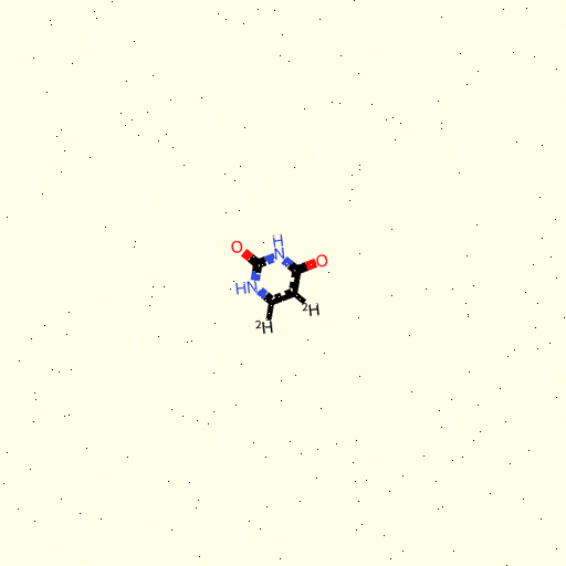 [2H]c1[nH]c(=O)[nH]c(=O)c1[2H]